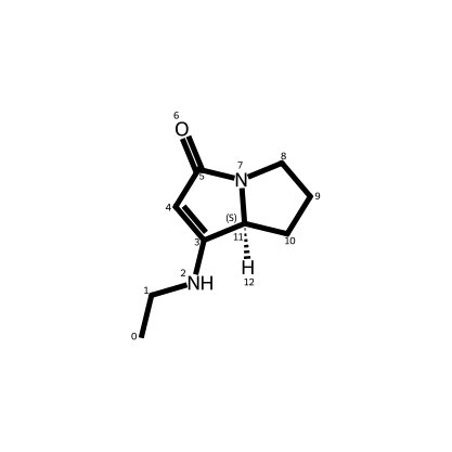 CCNC1=CC(=O)N2CCC[C@@H]12